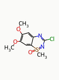 COc1cc2c(cc1OC)S(C)(=O)=NC(Cl)=N2